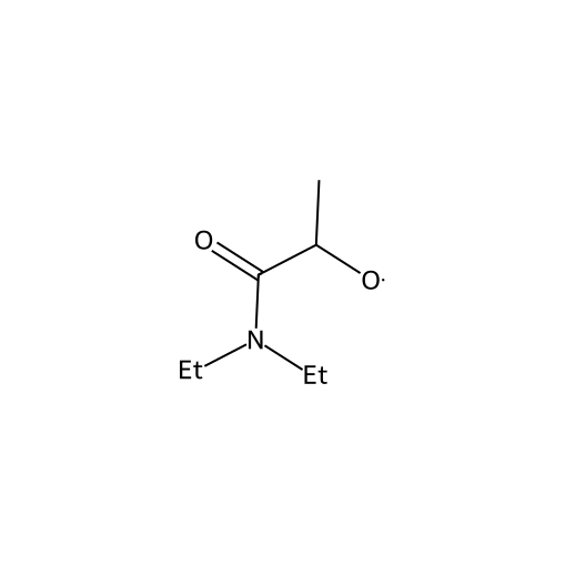 CCN(CC)C(=O)C(C)[O]